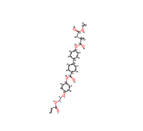 C=CC(=O)OCCOc1ccc(OC(=O)c2ccc(-c3ccc(OC(=O)C(=C)CC(=O)OCCC)cc3)cc2)cc1